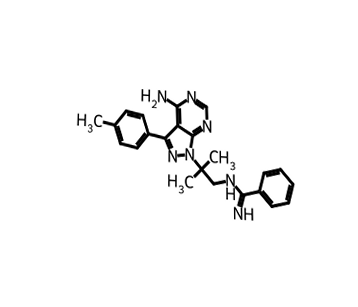 Cc1ccc(-c2nn(C(C)(C)CNC(=N)c3ccccc3)c3ncnc(N)c23)cc1